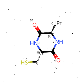 CC(C)[C@H]1NC(=O)[C@H](CS)NC1=O